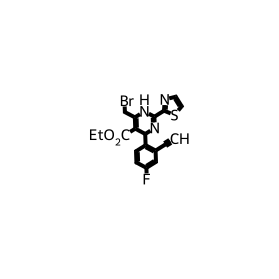 C#Cc1cc(F)ccc1C1N=C(c2nccs2)NC(CBr)=C1C(=O)OCC